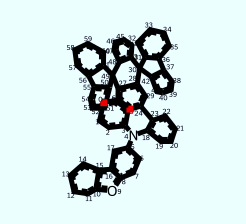 c1ccc(N(c2ccc3oc4ccccc4c3c2)c2ccccc2-c2ccc3c(c2)C2(c4ccccc4-c4ccccc42)c2ccccc2C32c3ccccc3-c3ccccc32)cc1